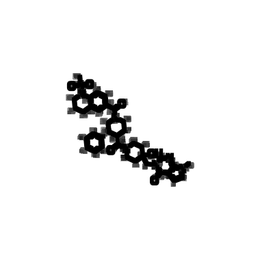 Cn1ccc2c(=O)n(CC3(O)CCN(C(=O)[C@@H]4CCN(C(=O)c5ccc6c(c5)CCCN6S(C)(=O)=O)C[C@H]4c4ccccc4)CC3)cnc21